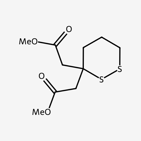 COC(=O)CC1(CC(=O)OC)CCCSS1